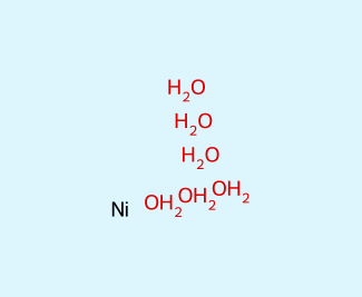 O.O.O.O.O.O.[Ni]